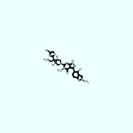 Cn1cc2c(Cl)c(-c3n[nH]c4nc(N5C[C@@H]6[C@H](C5)C6(CN)c5nc(Cl)cs5)n(C)c(=O)c34)ccc2n1